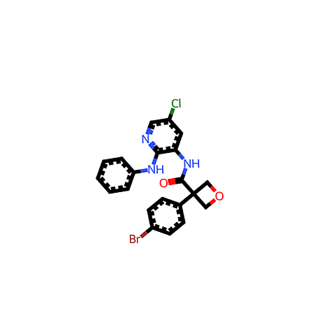 O=C(Nc1cc(Cl)cnc1Nc1ccccc1)C1(c2ccc(Br)cc2)COC1